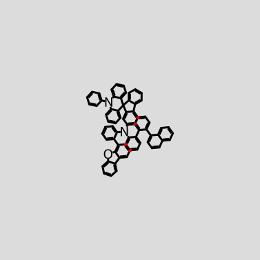 c1ccc(N2c3ccccc3C3(c4ccccc4-c4ccc(N(c5ccccc5-c5ccccc5-c5cccc6ccccc56)c5ccccc5-c5cccc6c5oc5ccccc56)cc43)c3ccccc32)cc1